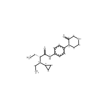 NC[C@H](C(=O)Nc1ccc(N2CCOCC2=O)cc1)N(CC(F)(F)F)C1CC1